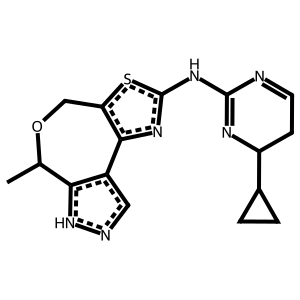 CC1OCc2sc(NC3=NC(C4CC4)CC=N3)nc2-c2cn[nH]c21